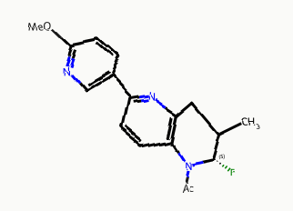 COc1ccc(-c2ccc3c(n2)CC(C)[C@H](F)N3C(C)=O)cn1